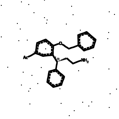 CC(=O)c1ccc(OCc2ccccc2)c([C@H](CCN)c2ccccc2)c1